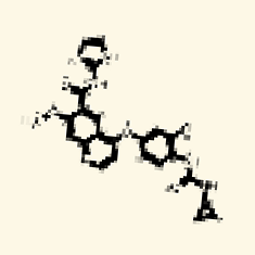 COc1cc2nccc(Oc3ccc(NC(=O)NC4CC4)c(Cl)c3)c2cc1C(=O)Nc1ncc[nH]1